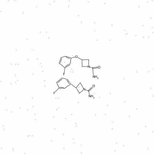 NC(=O)N1CC(Oc2cccc(F)c2)C1.NC(=O)N1CC(c2cccc(F)c2)C1